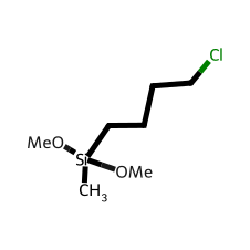 CO[Si](C)(CCCCCl)OC